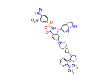 CCNc1ccc(S(=O)(=O)NC(=O)c2ccc(N3CCC4(CC3)CC(N3CCC[C@H]3c3ccccc3N(C)C)C4)cc2Oc2cnc3[nH]ccc3c2)cc1[N+](=O)[O-]